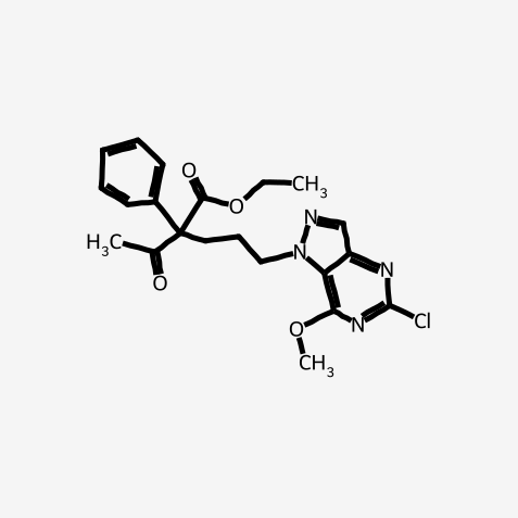 CCOC(=O)C(CCCn1ncc2nc(Cl)nc(OC)c21)(C(C)=O)c1ccccc1